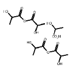 CC(O)C(=O)O.CC(O)C(=O)OC(=O)C(C)O.CC(O)C(=O)OC(=O)C(C)O